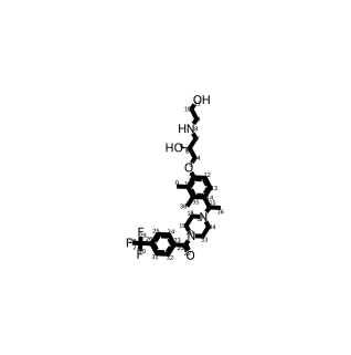 Cc1c(OC[C@H](O)CNCCO)ccc(C(C)N2CCN(C(=O)c3ccc(C(F)(F)F)cc3)CC2)c1C